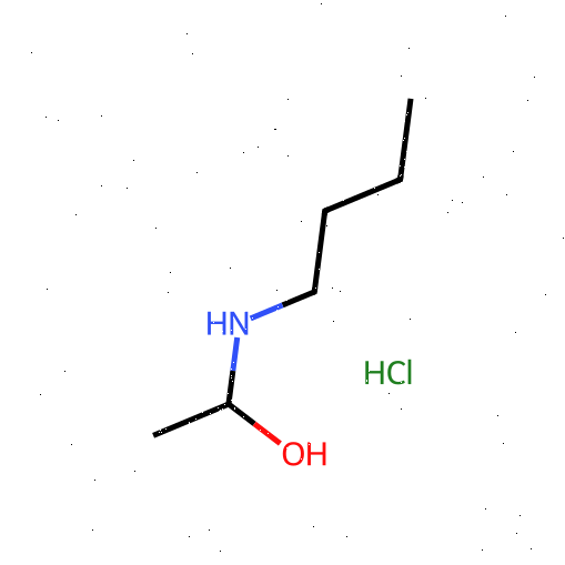 CCCCNC(C)O.Cl